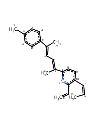 C=Cc1nc(/C(C)=C/C=C(\C)c2ccc(C)cc2)ccc1/C=C\C